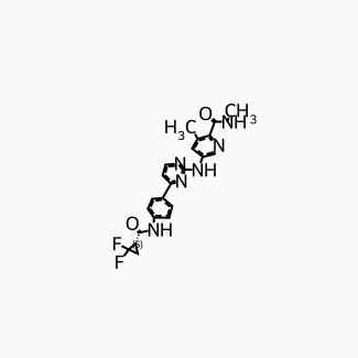 CNC(=O)c1ncc(Nc2nccc(-c3ccc(NC(=O)[C@@H]4CC4(F)F)cc3)n2)cc1C